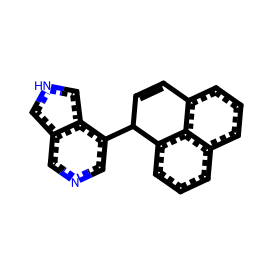 C1=CC(c2cncc3c[nH]cc23)c2cccc3cccc1c23